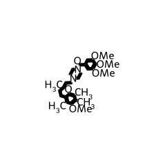 COc1cc(C(=O)N2CCN(CCC3(C)CCc4c(C)c(OC)c(C)c(C)c4O3)CC2)cc(OC)c1OC